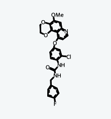 COc1cc2nccc(Oc3ccc(NC(=O)NCc4ccc(F)cc4)c(Cl)c3)c2c2c1OCCO2